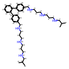 CC(C)CNCCCNCCCNCc1ccc(-c2ccccc2-c2ccc(CNCCCNCCCNCC(C)C)cc2)cc1